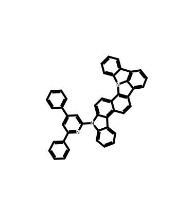 c1ccc(-c2cc(-c3ccccc3)nc(-n3c4ccccc4c4c5ccc6c7cccc8c9ccccc9n(c6c5ccc43)c87)c2)cc1